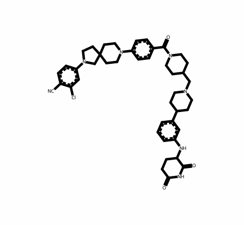 N#Cc1ccc(N2CCC3(CCN(c4ccc(C(=O)N5CCC(CN6CCC(c7cccc(NC8CCC(=O)NC8=O)c7)CC6)CC5)cc4)CC3)C2)cc1Cl